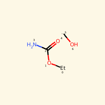 CCOC(N)=O.[CH2]O